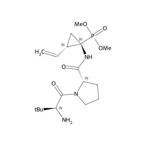 C=C[C@@H]1C[C@]1(NC(=O)[C@@H]1CCCN1C(=O)[C@@H](N)C(C)(C)C)P(=O)(OC)OC